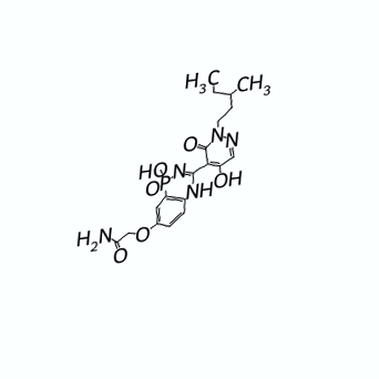 CCC(C)CCn1ncc(O)c(C2=NP(=O)(O)c3cc(OCC(N)=O)ccc3N2)c1=O